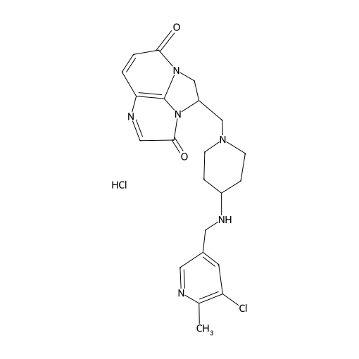 Cc1ncc(CNC2CCN(CC3Cn4c(=O)ccc5ncc(=O)n3c54)CC2)cc1Cl.Cl